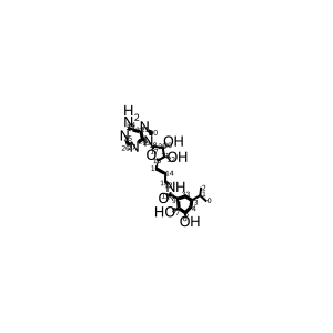 CC(C)c1cc(O)c(O)c(C(=O)NC/C=C/[C@H]2O[C@@H](n3cnc4c(N)ncnc43)C(O)[C@H]2O)c1